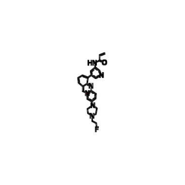 C=CC(=O)Nc1cncc(C2=CC=CC(=C/N=C)/C2=N\c2ccc(N3CCN(CCF)CC3)cc2)c1